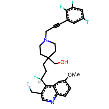 COc1ccc2ncc(CF)c([C@@H](F)CCC3(CO)CCN(CC#Cc4cc(F)cc(F)c4F)CC3)c2c1